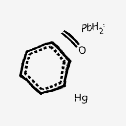 C=O.[Hg].[PbH2].c1ccccc1